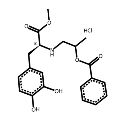 COC(=O)[C@H](Cc1ccc(O)c(O)c1)NCC(C)OC(=O)c1ccccc1.Cl